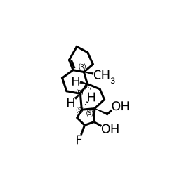 C[C@]12CCCC=C1CC[C@@H]1[C@H]2CC[C@]2(CO)C(O)C(F)C[C@@H]12